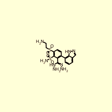 NCCS(=O)(=O)c1ccc(-c2cccc3cn[nH]c23)c(/C(=N/N)NN)c1S(N)(=O)=O